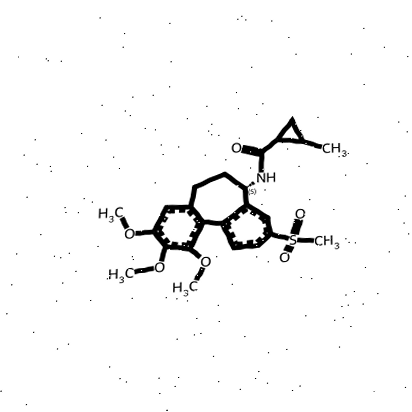 COc1cc2c(c(OC)c1OC)-c1ccc(S(C)(=O)=O)cc1[C@@H](NC(=O)C1CC1C)CC2